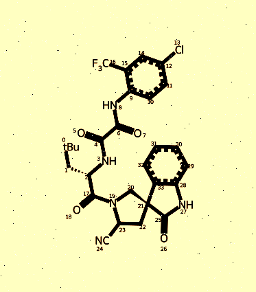 CC(C)(C)C[C@H](NC(=O)C(=O)Nc1ccc(Cl)cc1C(F)(F)F)C(=O)N1C[C@]2(CC1C#N)C(=O)Nc1ccccc12